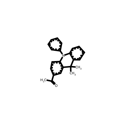 CC(=O)c1ccc2c(c1)C(C)(C)c1ccccc1N2c1ccccc1